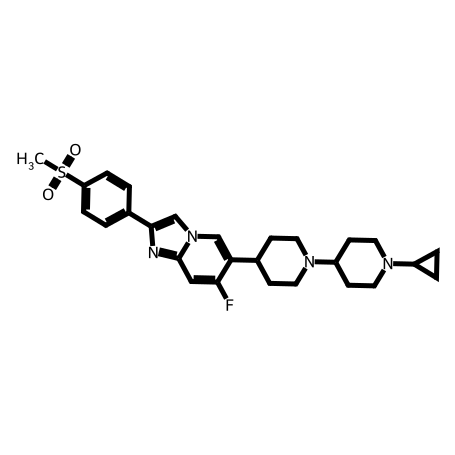 CS(=O)(=O)c1ccc(-c2cn3cc(C4CCN(C5CCN(C6CC6)CC5)CC4)c(F)cc3n2)cc1